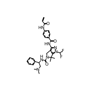 C=CC(=O)Nc1ccc(C(=O)Nc2nn(C(F)F)c3c2CN(C(=O)NC(CN(C)C)c2ccccc2)C3(C)C)cc1